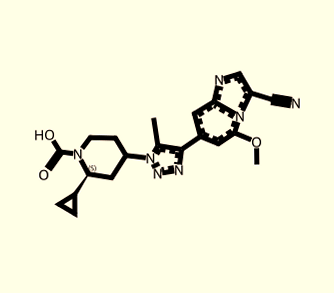 COc1cc(-c2nnn(C3CCN(C(=O)O)[C@H](C4CC4)C3)c2C)cc2ncc(C#N)n12